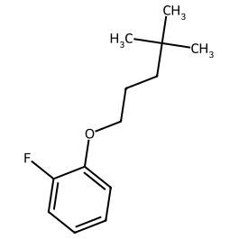 CC(C)(C)CCCOc1ccccc1F